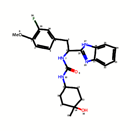 COc1ccc(CC(NC(=O)NC2CCC(C)(O)CC2)c2nc3ccccc3[nH]2)cc1F